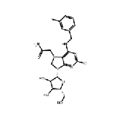 NC(=O)CN1CN([C@@H]2O[C@H](CO)C(O)C2O)c2nc(Cl)nc(NCc3cccc(I)c3)c21